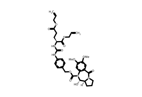 C=CCOC(=O)CC[C@H](NC(=O)Nc1ccc(COC(=O)N2c3cc(OC)c(OC)cc3C(=O)N3CCC[C@H]3[C@@H]2O)cc1)C(=O)OCC=C